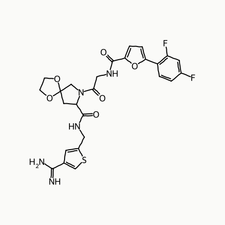 N=C(N)c1csc(CNC(=O)C2CC3(CN2C(=O)CNC(=O)c2ccc(-c4ccc(F)cc4F)o2)OCCO3)c1